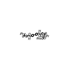 COC(=O)N[C@H](C(=O)N1CCC(C(=O)Nc2ccc(-c3ccc(NC(=O)C4CCN(C(=O)[C@@H](C)C(C)C)C4)cc3)cc2)C1)C(C)C